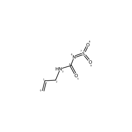 C=CCNC(=O)N=S(=O)=O